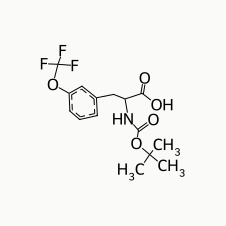 CC(C)(C)OC(=O)NC(Cc1cccc(OC(F)(F)F)c1)C(=O)O